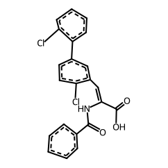 O=C(O)C(=Cc1cc(-c2ccccc2Cl)ccc1Cl)NC(=O)c1ccccc1